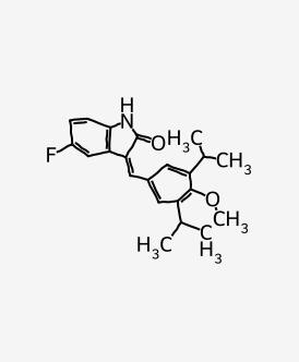 COc1c(C(C)C)cc(C=C2C(=O)Nc3ccc(F)cc32)cc1C(C)C